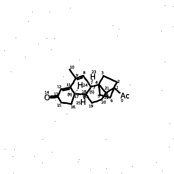 CC(=O)C12CCC3(CC1)[C@@H]1C=C(C)C4=CC(=O)CC[C@@H]4[C@H]1CC[C@]23C